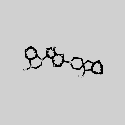 CC(=O)N1CCN(c2n[nH]c3nc(N4CCC5(CC4)Cc4ccccc4C5N)cnc23)c2ccccc21